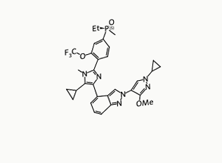 CC[P@](C)(=O)c1ccc(-c2nc(-c3cccc4nn(-c5cn(C6CC6)nc5OC)cc34)c(C3CC3)n2C)c(OC(F)(F)F)c1